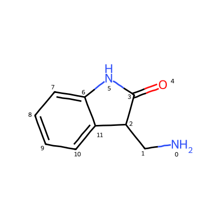 NCC1C(=O)Nc2ccccc21